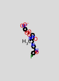 Cc1nc2n(c(=O)c1CCN1CCC(c3noc4cc(F)ccc34)CC1)CCCC2OC(=O)Oc1ccc([N+](=O)[O-])cc1